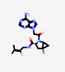 CC(C)=C(F)CNC(=O)[C@@H]1C[C@H]2CC2N1C(=O)Cn1cnc2c(N)ncnc21